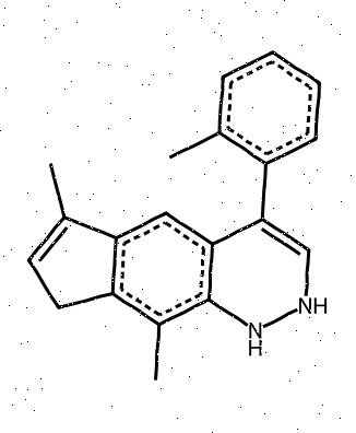 CC1=CCc2c1cc1c(c2C)NNC=C1c1ccccc1C